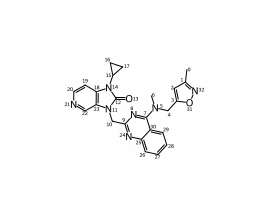 Cc1cc(CN(C)c2nc(Cn3c(=O)n(C4CC4)c4ccncc43)nc3ccccc23)on1